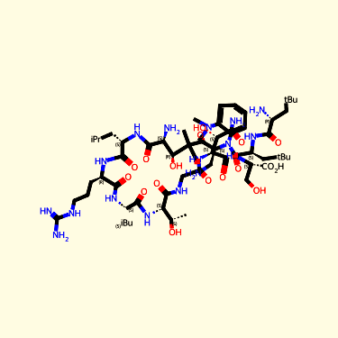 CC[C@H](C)[C@H](NC(=O)[C@@H](CCCNC(=N)N)NC(=O)[C@H](CC(C)C)NC(=O)[C@@H](N)[C@H](O)C(C)(C)C(=O)[C@H](CN)N(C(=O)[C@H](CC(C)(C)C)NC(=O)[C@H](N)CC(C)(C)C)c1ccccc1N(C)C)C(=O)N[C@H](C(=O)NCC(=O)N[C@H](C(=O)N[C@@H](CO)C(=O)O)[C@H](O)C(N)=O)[C@H](C)O